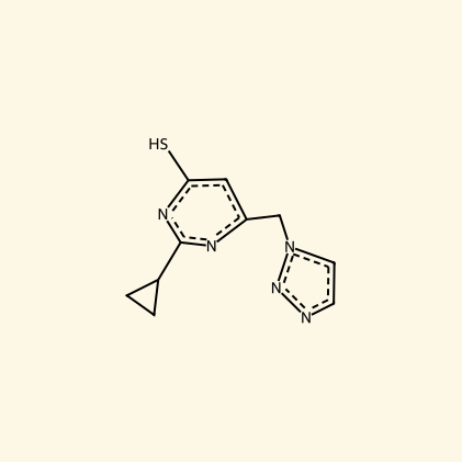 Sc1cc(Cn2ccnn2)nc(C2CC2)n1